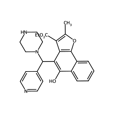 CCOC(=O)c1c(C)oc2c1c(C(c1ccncc1)N1CCNCC1)c(O)c1ccccc12